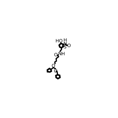 O=C(CCCCCOC(COCc1ccccc1)c1ccccc1)NCCc1ccc(O)c2[nH]c(=O)sc12